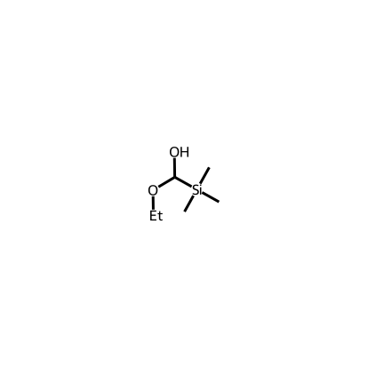 CCOC(O)[Si](C)(C)C